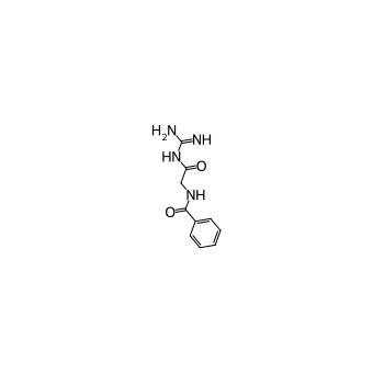 N=C(N)NC(=O)CNC(=O)c1ccccc1